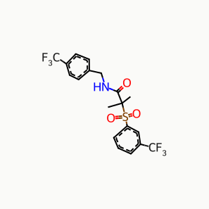 CC(C)(C(=O)NCc1ccc(C(F)(F)F)cc1)S(=O)(=O)c1cccc(C(F)(F)F)c1